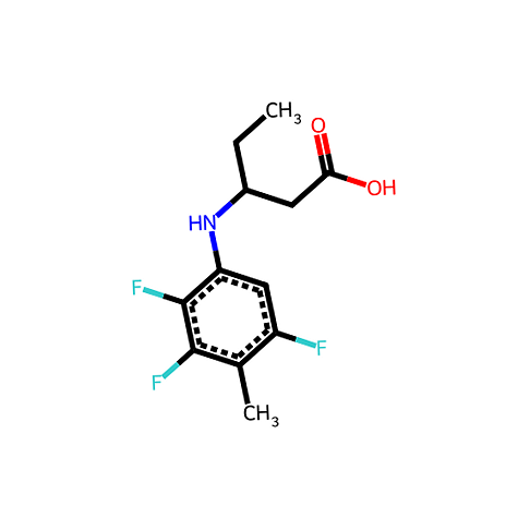 CCC(CC(=O)O)Nc1cc(F)c(C)c(F)c1F